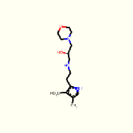 Cc1c[nH]c(CCNC[C@@H](O)CN2CCOCC2)c1C(=O)O